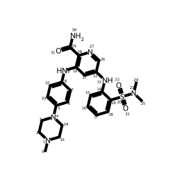 CN1CCN(c2ccc(Nc3cc(Nc4ccccc4S(=O)(=O)N(C)C)cnc3C(N)=O)cc2)CC1